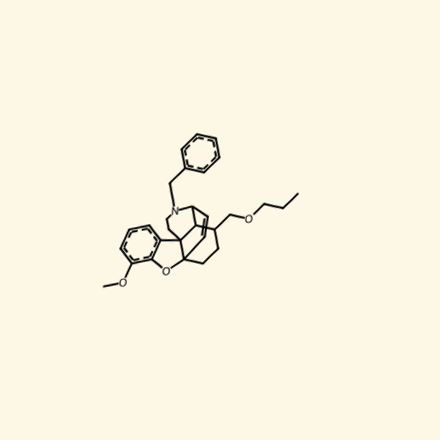 CCCOCC1CCC23C=CC4C1C2(CCN4Cc1ccccc1)c1cccc(OC)c1O3